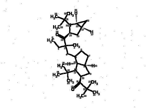 CCC(C)(CC1CC[C@H]2C[C@@H](C(=O)C(C)(C)C)N(C(C)(C)C)[C@@H]12)C(=O)[C@@H]1C[C@@H]2C[C@@H]2N1C(C)(C)C